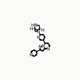 c1cc(-c2cc3nccc(-c4ccc(N5C[C@@H]6C[C@H]5CN6)nc4)n3n2)ccn1